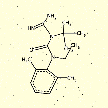 CCN(C(=O)N(C(=N)N)C(C)(C)C)c1c(C)cccc1C